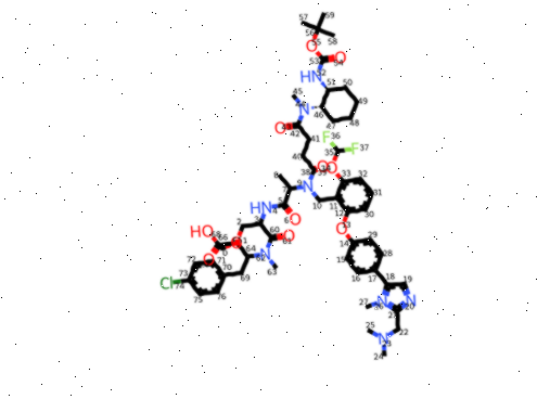 COCC(NC(=O)C(C)N(Cc1c(Oc2ccc(-c3cnc(CN(C)C)n3C)cc2)cccc1OC(F)F)C(=O)CCC(=O)N(C)[C@H]1CCCC[C@@H]1NC(=O)OC(C)(C)C)C(=O)N(C)C(CC(=O)O)Cc1ccc(Cl)cc1